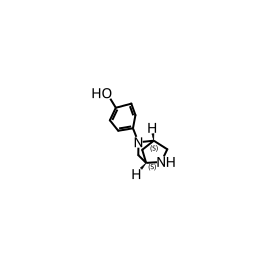 Oc1ccc(N2C[C@@H]3C[C@H]2CN3)cc1